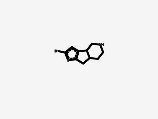 Brc1cc2c(s1)CC1CCNCC21